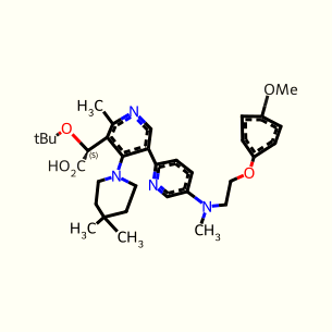 COc1ccc(OCCN(C)c2ccc(-c3cnc(C)c([C@H](OC(C)(C)C)C(=O)O)c3N3CCC(C)(C)CC3)nc2)cc1